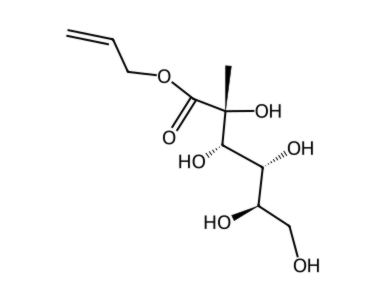 C=CCOC(=O)[C@](C)(O)[C@@H](O)[C@H](O)[C@H](O)CO